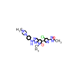 CCn1c(=O)c(-c2cnc(-c3noc(C)n3)cc2Cl)cc2cnc(Nc3ccc(N4CCN(C)CC4)cc3)nc21